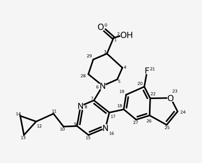 O=C(O)C1CCN(c2nc(CCC3CC3)cnc2-c2cc(F)c3occc3c2)CC1